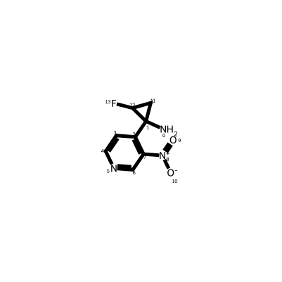 NC1(c2ccncc2[N+](=O)[O-])CC1F